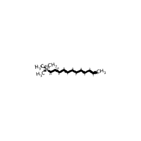 C=CCCCCCCCCCC[N+](C)(C)C